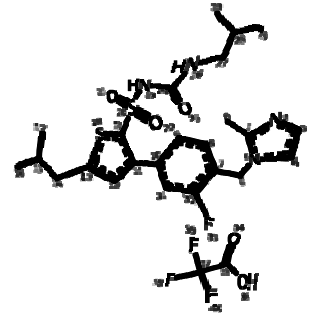 Cc1nccn1Cc1ccc(-c2cc(CC(C)C)sc2S(=O)(=O)NC(=O)NCC(C)C)cc1F.O=C(O)C(F)(F)F